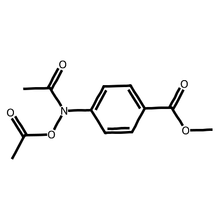 COC(=O)c1ccc(N(OC(C)=O)C(C)=O)cc1